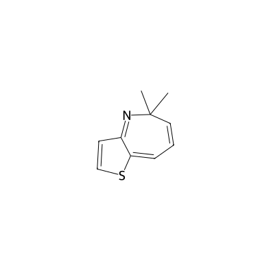 CC1(C)C=CC=c2sccc2=N1